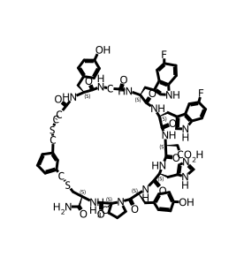 C[C@@]12CCCN1C(=O)[C@H](Cc1ccc(O)cc1)NC(=O)[C@H](Cc1cnc[nH]1)NC(=O)[C@H](CC(=O)O)NC(=O)[C@H](Cc1c[nH]c3ccc(F)cc13)NC(=O)[C@H](Cc1c[nH]c3ccc(F)cc13)NC(=O)CNC(=O)[C@H](Cc1ccc(O)cc1)NC(=O)CCSCc1cccc(c1)CSC[C@H](C(N)=O)NC2=O